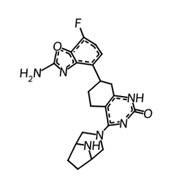 Nc1nc2c(C3CCc4c(N5CC6CCC(C5)N6)nc(=O)[nH]c4C3)ccc(F)c2o1